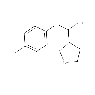 CC(C)C(Oc1ccc(Cl)cc1)[C@H]1CCNC1.Cl